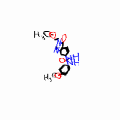 COCCn1cnc2cc(NC(=O)Nc3ccc(OC)cc3)ccc2c1=O